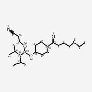 CCOCCCC(=O)N1CCC(OP(OCCC#N)N(C(C)C)C(C)C)CC1